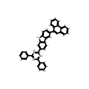 c1ccc(-c2nc(-c3ccccc3)nc(-c3ccc4c(c3)sc3ccc(-c5cc6ccccc6c6ccccc56)cc34)n2)cc1